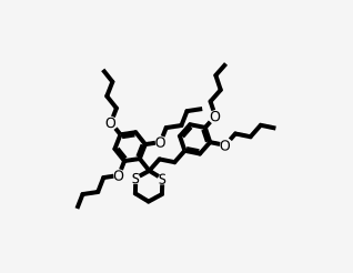 CCCCOc1cc(OCCCC)c(C2(CCc3ccc(OCCCC)c(OCCCC)c3)SCCCS2)c(OCCCC)c1